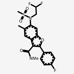 CNC(=O)c1c(-c2ccc(F)cc2)oc2cc(N(CC(F)F)S(C)(=O)=O)c(C)cc12